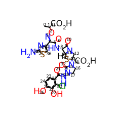 CC(O/N=C(\C(=O)N[C@@H]1C(=O)N2C[C@@](C(=O)O)(N3CCN(NC(=O)c4ccc(O)c(O)c4Cl)C3=O)S[C@H]12)c1csc(N)n1)C(=O)O